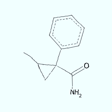 CC1CC1(C(N)=O)c1ccccc1